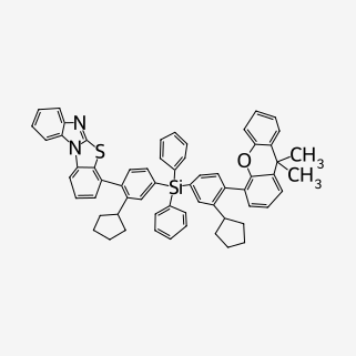 CC1(C)c2ccccc2Oc2c(-c3ccc([Si](c4ccccc4)(c4ccccc4)c4ccc(-c5cccc6c5sc5nc7ccccc7n56)c(C5CCCC5)c4)cc3C3CCCC3)cccc21